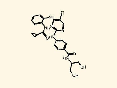 O=C(NC(CO)CO)c1ccc(Nc2ncc(Cl)c(Nc3ccccc3NC(=O)C3CC3)n2)cc1